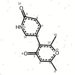 Cc1cc(=O)c(-c2ccc(=O)[nH]c2)c(C)o1